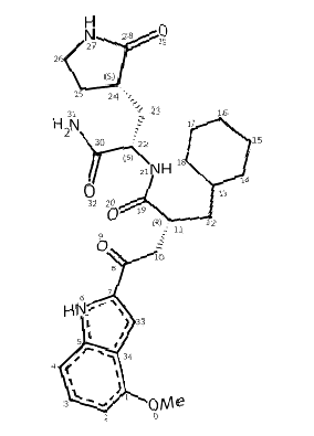 COc1cccc2[nH]c(C(=O)C[C@@H](CC3CCCCC3)C(=O)N[C@@H](C[C@@H]3CCNC3=O)C(N)=O)cc12